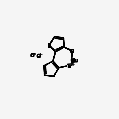 CC(C)(C)Oc1ccsc1C1=[C]([Ti+2])CC=C1.[Cl-].[Cl-]